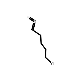 O=S=CCCCCCl